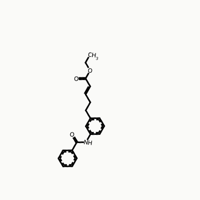 CCOC(=O)C=CCCc1cccc(NC(=O)c2ccccc2)c1